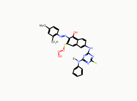 CCN(c1ccccc1)c1nc(F)nc(Nc2ccc3c(O)c(/N=N/c4ccc(OC)cc4S(=O)(=O)O)c(SOOO)cc3c2)n1